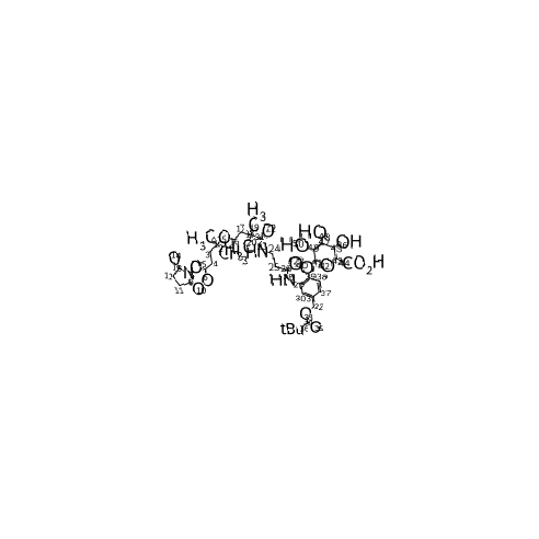 CC(C)(CCC(=O)ON1C(=O)CCC1=O)OCCC(C)(C)C(=O)NCCC(=O)Nc1cc(COC(=O)C(C)(C)C)ccc1O[C@@H]1O[C@H](C(=O)O)[C@@H](O)[C@H](O)[C@H]1O